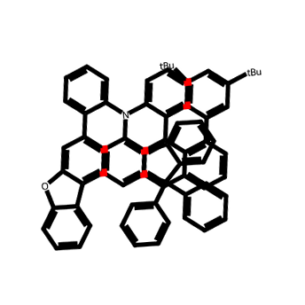 CC(C)(C)c1cc(-c2cccc3cccc(-c4ccccc4N(c4ccccc4-c4ccc5c(c4)oc4ccccc45)c4cccc5c4-c4ccccc4C5(c4ccccc4)c4ccccc4)c23)cc(C(C)(C)C)c1